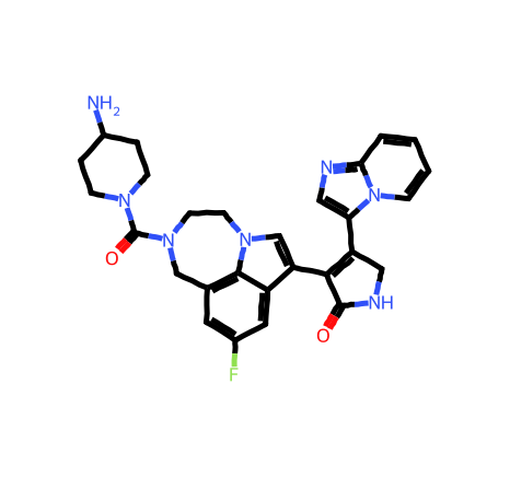 NC1CCN(C(=O)N2CCn3cc(C4=C(c5cnc6ccccn56)CNC4=O)c4cc(F)cc(c43)C2)CC1